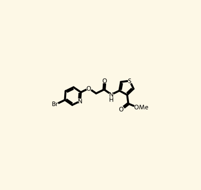 COC(=O)c1cscc1NC(=O)COc1ccc(Br)cn1